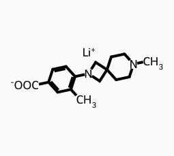 Cc1cc(C(=O)[O-])ccc1N1CC2(CCN(C)CC2)C1.[Li+]